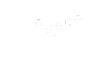 CC(C)(Cn1nnc(-c2ccc(-n3ccnc3)cc2)n1)C(=O)NCc1ccccc1Cl